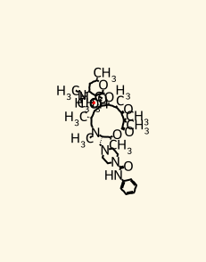 CO[C@]1(C)C[C@@H](C)CN(C)[C@@H](CN2CCN(C(=O)Nc3ccccc3)CC2)[C@H](C)OC(=O)C(C)(C)C(=O)[C@H](C)[C@H]1O[C@@H]1O[C@H](C)C[C@H](N(C)C)[C@H]1O